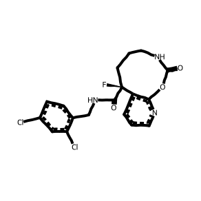 O=C1NCCC[C@@](F)(C(=O)NCc2ccc(Cl)cc2Cl)c2cccnc2O1